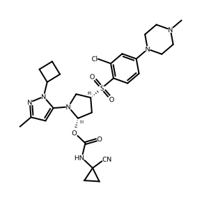 Cc1cc(N2C[C@H](S(=O)(=O)c3ccc(N4CCN(C)CC4)cc3Cl)C[C@@H]2OC(=O)NC2(C#N)CC2)n(C2CCC2)n1